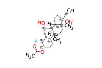 C#C[C@]1(O)CC[C@H]2[C@@H]3[C@@H](O)C=C4[C@@H](F)[C@@H](OC(C)=O)CC[C@]4(C)[C@H]3CC[C@@]21C